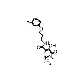 Cn1c(C(F)(F)F)cc(C(=O)NCCCOc2cccc(F)c2)c(O)c1=O